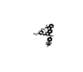 C[C@@H]1CN(Cc2nc(Nc3ccc(S(=O)(=O)C(F)(F)F)cc3)c3ccc(-c4ncccc4C(F)(F)F)cc3n2)C[C@H](C)O1